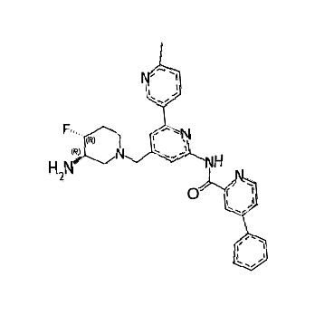 Cc1ccc(-c2cc(CN3CC[C@@H](F)[C@H](N)C3)cc(NC(=O)c3cc(-c4ccccc4)ccn3)n2)cn1